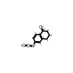 O=C=Nc1ccc2c(c1)CCCC2=O